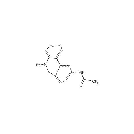 CCN1Cc2ccc(NC(=O)C(F)(F)F)cc2-c2ccccc21